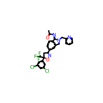 CC(=O)/N=C1\c2ccc(C3=NOC(c4cc(Cl)cc(Cl)c4)(C(F)(F)F)C3)cc2CN1Cc1ccccn1